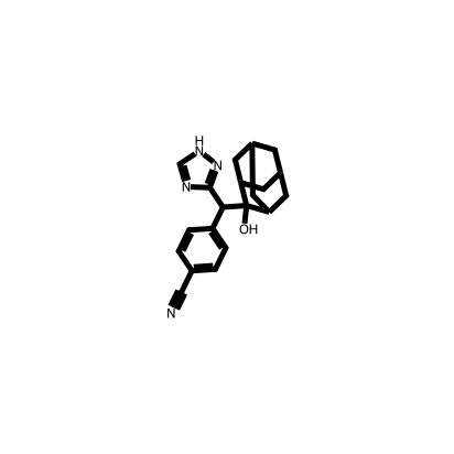 N#Cc1ccc(C(c2nc[nH]n2)C2(O)C3CC4CC(C3)CC2C4)cc1